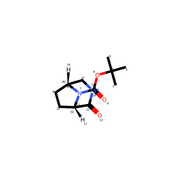 CC(C)(C)OC(=O)N1[C@@H]2CC[C@H]1C(=O)NC2